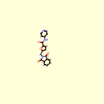 O=C(Nc1ccncc1)c1ccc(CN2C(=O)c3ccccc3C2=O)o1